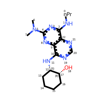 CCCNc1nc(N(C)C)nc2c(N[C@H]3CCCC[C@H]3O)ncnc12